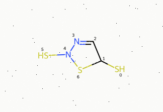 SC1C=NN(S)S1